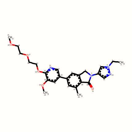 CCn1cc(N2Cc3cc(-c4cnc(OCCOCCOC)c(OC)c4)cc(C)c3C2=O)cn1